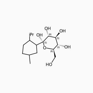 CC1CCC(C(C)C)C([C@]2(O)O[C@H](CO)[C@@H](O)[C@H](O)[C@H]2O)C1